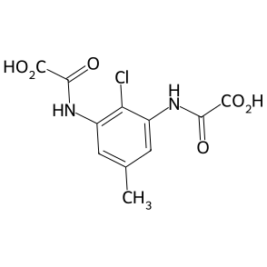 Cc1cc(NC(=O)C(=O)O)c(Cl)c(NC(=O)C(=O)O)c1